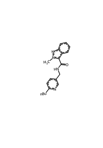 CCCCc1ccc(CNC(=O)c2c3ccccc3nn2C)cn1